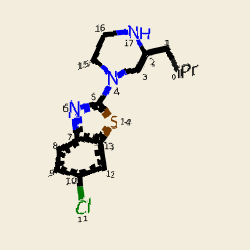 CC(C)CC1CN(c2nc3ccc(Cl)cc3s2)CCN1